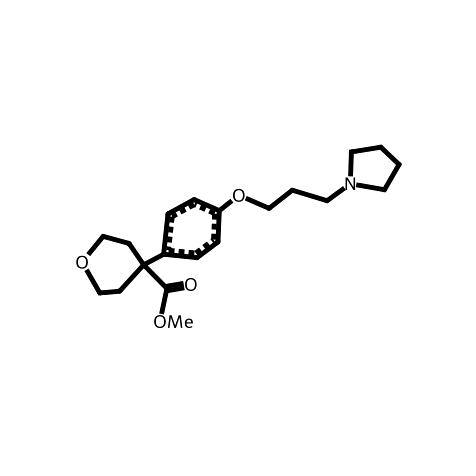 COC(=O)C1(c2ccc(OCCCN3CCCC3)cc2)CCOCC1